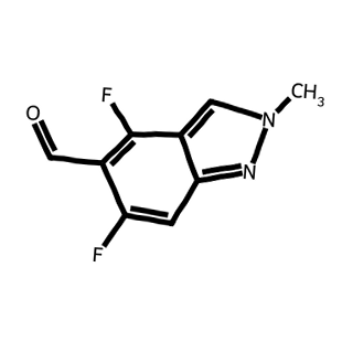 Cn1cc2c(F)c(C=O)c(F)cc2n1